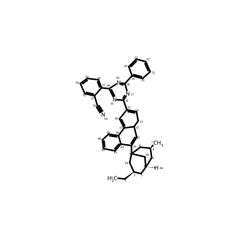 CC[C@@H]1C[C@@H]2C[C@H](C)CC(C3=CC4CC=C(c5nc(-c6ccccc6)nc(-c6ccccc6C#N)n5)C=C4c4ccccc43)(C1)C2